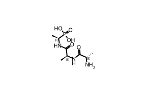 C[C@H](N)C(=O)N[C@@H](C)C(=O)N[C@@H](C)P(=O)(O)O